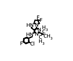 CC(C)(C)c1nc(NCc2ccc(F)cc2Cl)c(C=N)c(N2CCC(F)(F)C2)n1